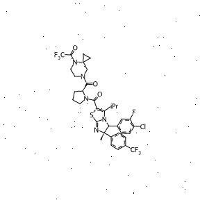 CC(C)C1=C(C(=O)N2[C@H](C)CC[C@H]2C(=O)N2CCN(C(=O)C(F)(F)F)C3(CC3)C2)SC2=N[C@@](C)(c3ccc(C(F)(F)F)cc3)C(c3ccc(Cl)c(F)c3)N21